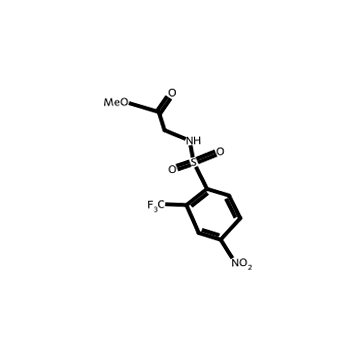 COC(=O)CNS(=O)(=O)c1ccc([N+](=O)[O-])cc1C(F)(F)F